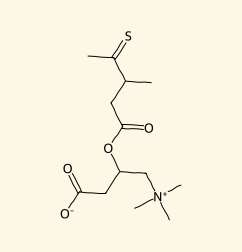 CC(=S)C(C)CC(=O)OC(CC(=O)[O-])C[N+](C)(C)C